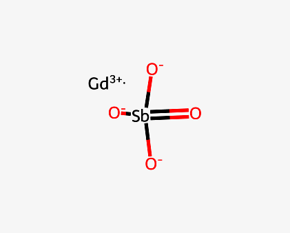 [Gd+3].[O]=[Sb]([O-])([O-])[O-]